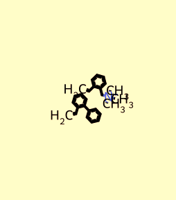 C=Cc1ccccc1-c1ccccc1.C=Cc1ccccc1C[N+](C)(C)C